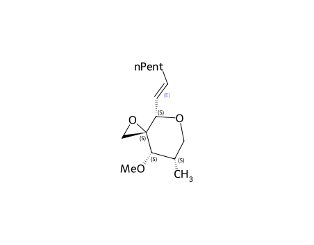 CCCCC/C=C/[C@@H]1OC[C@H](C)[C@H](OC)[C@@]12CO2